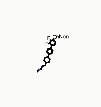 C/C=C/CCC1CCC(c2ccc(-c3ccc(OCCCCCCCCC)c(F)c3F)cc2)CC1